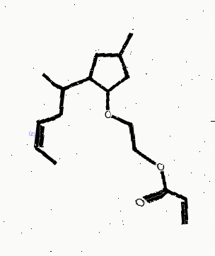 C=CC(=O)OCCOC1CC(C)CC1C(C)C/C=C\C